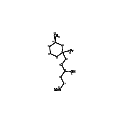 CCCC1(COC(O)CCSC)CCC[C@@H](C)C1